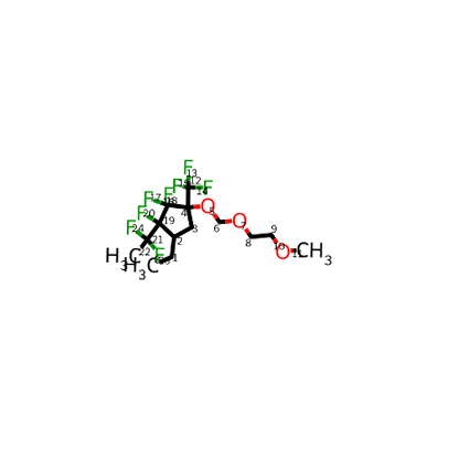 CCC1CC(OCOCCOC)(C(F)(F)F)C(F)(F)C1(F)C(C)(F)F